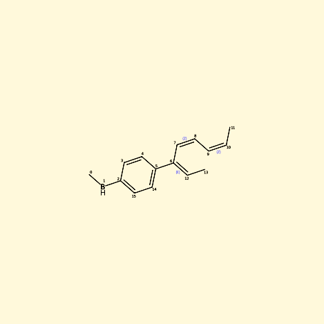 CBc1ccc(C(/C=C\C=C/C)=C/C)cc1